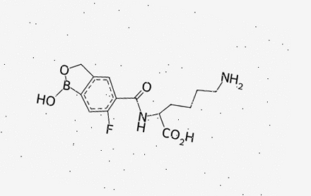 NCCCCC(NC(=O)c1cc2c(cc1F)B(O)OC2)C(=O)O